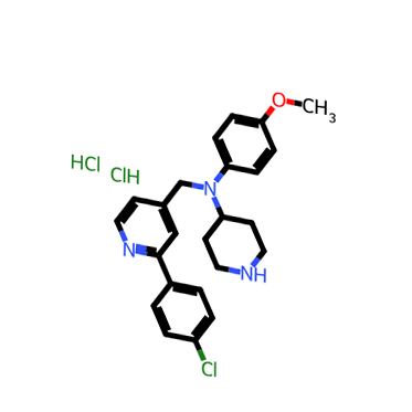 COc1ccc(N(Cc2ccnc(-c3ccc(Cl)cc3)c2)C2CCNCC2)cc1.Cl.Cl